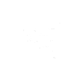 CCCc1nc(C#N)cn2nc(C)nc12